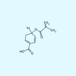 [2H]C1(OC(=O)C(=C)C)C=CC(C(=O)O)=CC1